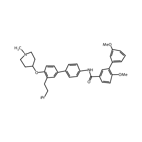 COc1cccc(-c2cc(C(=O)Nc3ccc(-c4ccc(OC5CCN(C)CC5)c(CCC(C)C)c4)cc3)ccc2OC)c1